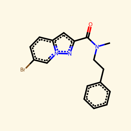 CN(CCc1ccccc1)C(=O)c1cc2ccc(Br)cn2n1